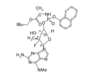 CNc1nc(N)nc2c1ncn2[C@@H]1O[C@@H]2C(OP(=O)(N[C@@H](C)C(=O)OCC(C)(C)C)Oc3cccc4ccccc34)[C@]2(O)[C@@]1(C)F